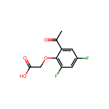 CC(=O)c1cc(F)cc(F)c1OCC(=O)O